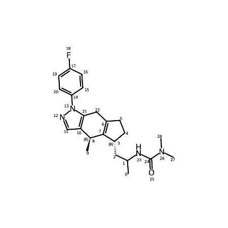 CC(C[C@H]1CCC2=C1[C@@H](C)c1cnn(-c3ccc(F)cc3)c1C2)NC(=O)N(C)C